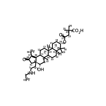 CC(C)CNC[C@@H](O)[C@@]12CCC3(C)C(CC[C@@H]4[C@@]5(C)CC[C@H](OC(=O)CC(C)(C)C(=O)O)C(C)(C)[C@@H]5CC[C@]43C)C1=C(C(C)C)C(=O)C2